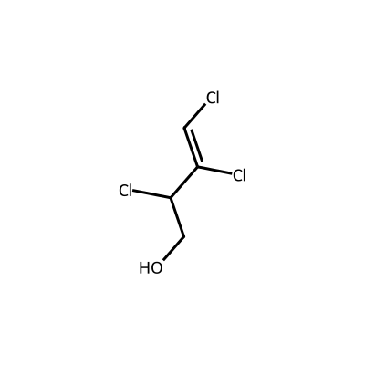 OCC(Cl)C(Cl)=CCl